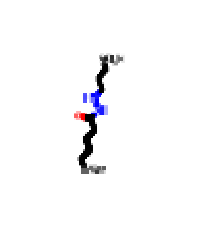 CCCCCCCCCCCCCC(=O)NNCCCS(=O)(=O)O